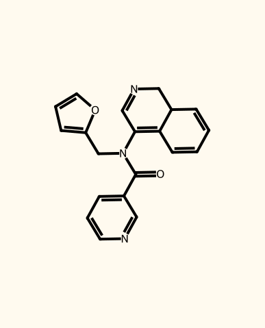 O=C(c1cccnc1)N(Cc1ccco1)C1=C2C=CC=CC2CN=C1